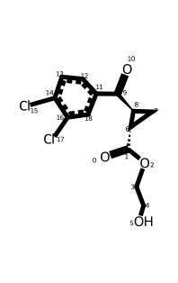 O=C(OCCO)[C@H]1C[C@@H]1C(=O)c1ccc(Cl)c(Cl)c1